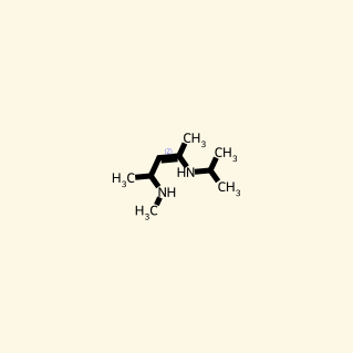 CNC(C)/C=C(/C)NC(C)C